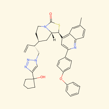 C=C[C@@H](Cn1cc(C2(O)CCCC2)nn1)[C@H]1CCN2C(=O)S[C@@H](c3cc(-c4ccc(Oc5ccccc5)cc4)nc4ccc(C)cc34)[C@@H]2C1